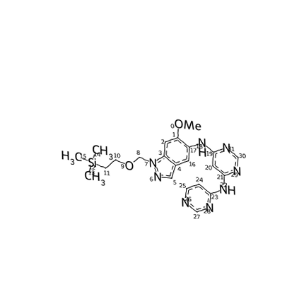 COc1cc2c(cnn2COCC[Si](C)(C)C)cc1Nc1cc(Nc2ccncn2)ncn1